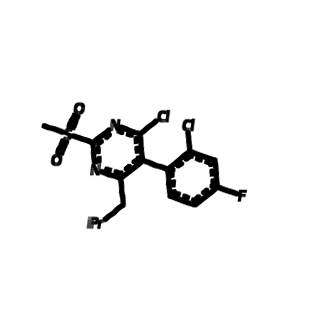 CC(C)Cc1nc(S(C)(=O)=O)nc(Cl)c1-c1ccc(F)cc1Cl